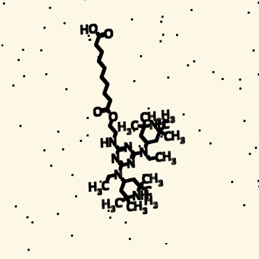 CCN(c1nc(NCCOC(=O)CCCCCCCCC(=O)O)nc(N(CC)C2CC(C)(C)NC(C)(C)C2)n1)C1CC(C)(C)NC(C)(C)C1